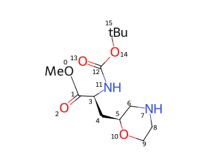 COC(=O)[C@H](C[C@H]1CNCCO1)NC(=O)OC(C)(C)C